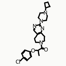 CC(Oc1ccc(Cl)cc1)C(=O)N1CCc2cnc(N3CCN(C4CCC4)CC3)nc2CC1